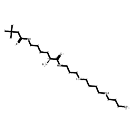 CC(C)(C)CC(=O)NCCCC[C@H](N)C(=O)NCCCNCCCCNCCCN